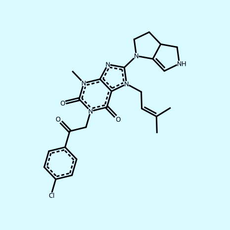 CC(C)=CCn1c(N2CCC3CNC=C32)nc2c1c(=O)n(CC(=O)c1ccc(Cl)cc1)c(=O)n2C